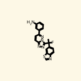 CC(F)(c1ccc2ncsc2c1)c1nnc2ccc(-c3cccc(N)c3)nn12